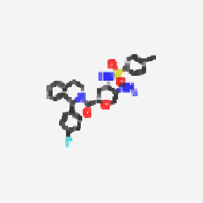 Cc1ccc(S(=O)(=O)N[C@H]2C[C@H](C(=O)N3CCc4ccccc4[C@@H]3c3ccc(F)cc3)OC[C@@H]2N)cc1